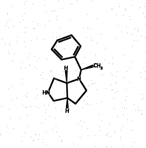 C[C@H](c1ccccc1)N1CC[C@@H]2CNC[C@@H]21